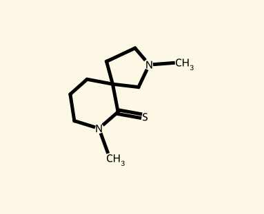 CN1CCC2(CCCN(C)C2=S)C1